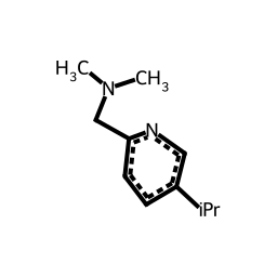 CC(C)c1ccc(CN(C)C)nc1